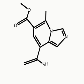 C=C(S)c1cc(C(=O)OC)c(C)n2cncc12